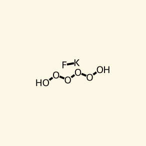 OOOOOO.[F][K]